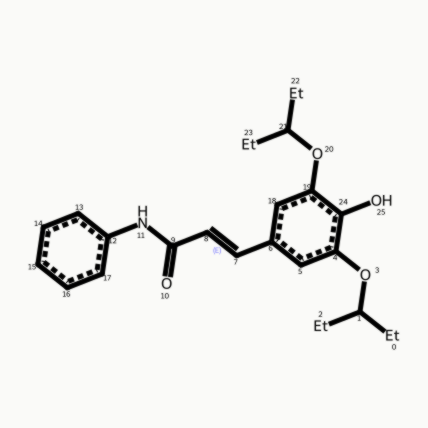 CCC(CC)Oc1cc(/C=C/C(=O)Nc2ccccc2)cc(OC(CC)CC)c1O